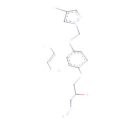 CC(C)NCC(O)COc1ccc(OCn2cc(Cl)cn2)cc1.O=C(O)/C=C/C(=O)O